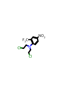 O=[N+]([O-])c1ccc(N(CCCl)CCCl)c(C(F)(F)F)c1